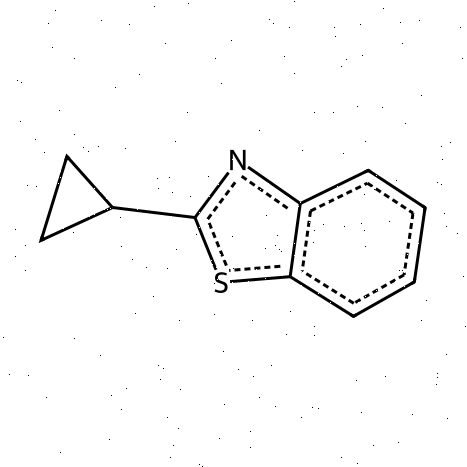 c1ccc2sc(C3CC3)nc2c1